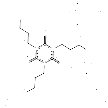 O=c1n(CCCBr)c(=O)n(CCCBr)c(=O)n1CCCBr